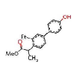 CCc1cc(-c2ccc(O)cc2)ccc1C(C)C(=O)OC